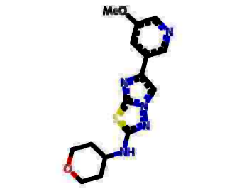 COc1cncc(-c2cn3nc(NC4CCOCC4)sc3n2)c1